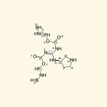 BNPOC(=O)/N=C(/NC(=O)OPNB)N[C@@H]1CCNC1